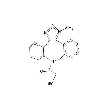 CC(C)CC(=O)N1Cc2ccccc2-c2c(nnn2C)-c2ccccc21